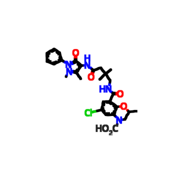 Cc1c(NC(=O)CC(C)(C)CNC(=O)c2cc(Cl)cc3c2OC(C)CN3C(=O)O)c(=O)n(-c2ccccc2)n1C